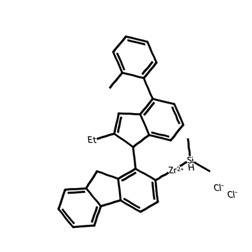 CCC1=Cc2c(-c3ccccc3C)cccc2C1c1[c]([Zr+2][SiH](C)C)ccc2c1Cc1ccccc1-2.[Cl-].[Cl-]